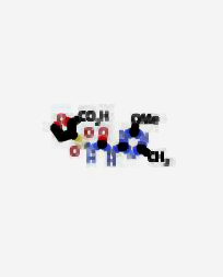 COc1nc(C)nc(NC(=O)NS(=O)(=O)c2ccoc2C(=O)O)n1